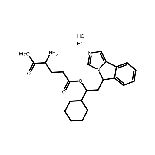 COC(=O)C(N)CCC(=O)OC(CC1c2ccccc2-c2cncn21)C1CCCCC1.Cl.Cl